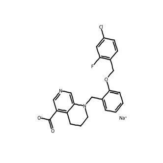 O=C([O-])c1cncc2c1CCCN2Cc1ccccc1OCc1ccc(Cl)cc1F.[Na+]